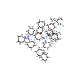 CC(C)(C)c1cc(-c2cccc3cccc(-c4ccccc4N(c4cccc(-c5cccc6c7ccccc7n(-c7ccccc7)c56)c4)c4cc(-c5cccc6ccccc56)ccc4-c4ccccc4)c23)cc(C(C)(C)C)c1